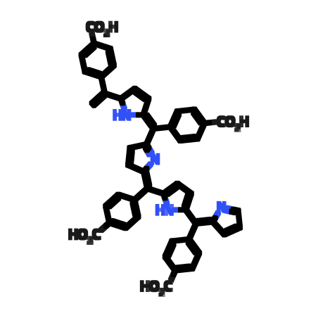 C=C(c1ccc(C(=O)O)cc1)C1C=C/C(=C(C2=N/C(=C(/c3ccc(C(=O)O)cc3)c3ccc(/C(=C4/C=CC=N4)c4ccc(C(=O)O)cc4)[nH]3)C=C2)\c2ccc(C(=O)O)cc2)N1